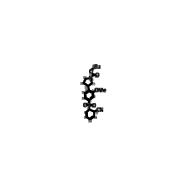 COc1cc(S(=O)(=O)C2C=CC=CC2C#N)ccc1C1CCN(C(=O)OC(C)(C)C)C1